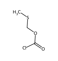 CSCOC(=O)Cl